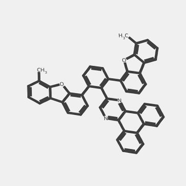 Cc1cccc2c1oc1c(-c3cccc(-c4cccc5c4oc4c(C)cccc45)c3-c3cnc4c5ccccc5c5ccccc5c4n3)cccc12